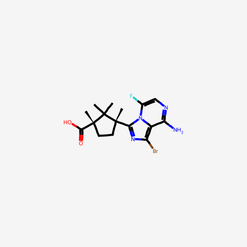 CC1(C)[C@](C)(c2nc(Br)c3c(N)ncc(F)n23)CC[C@]1(C)C(=O)O